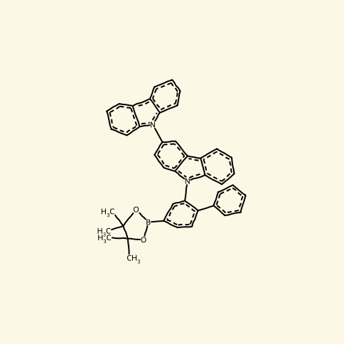 CC1(C)OB(c2ccc(-c3ccccc3)c(-n3c4ccccc4c4cc(-n5c6ccccc6c6ccccc65)ccc43)c2)OC1(C)C